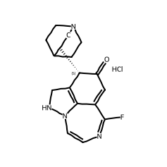 Cl.O=C1C=C2C(F)=NC=CN3NCC(=C23)[C@@H]1C1CN2CCC1CC2